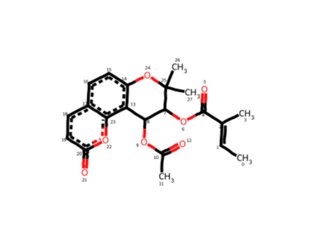 CC=C(C)C(=O)OC1C(OC(C)=O)c2c(ccc3ccc(=O)oc23)OC1(C)C